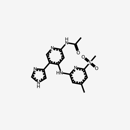 CC(=O)Nc1cc(Nc2cc(C)cc(S(C)(=O)=O)n2)c(-c2c[nH]cn2)cn1